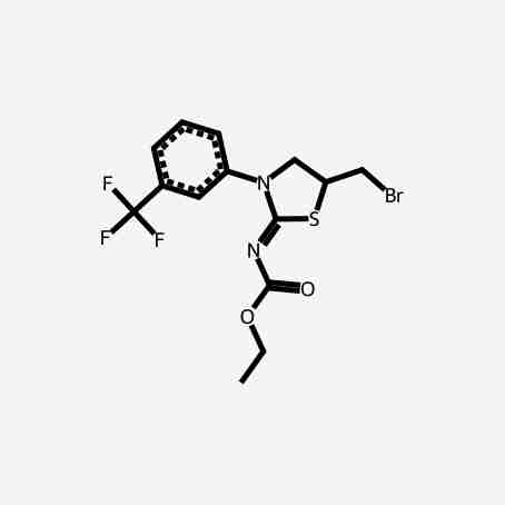 CCOC(=O)N=C1SC(CBr)CN1c1cccc(C(F)(F)F)c1